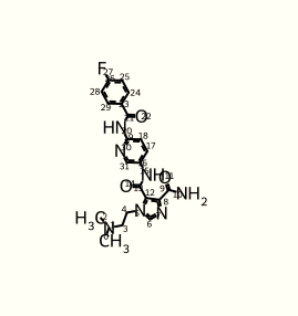 CN(C)CCn1cnc(C(N)=O)c1C(=O)Nc1ccc(NC(=O)c2ccc(F)cc2)nc1